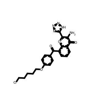 Nc1c(-c2nnn[nH]2)oc2c(C(=O)c3ccc(OCCCCCCl)cc3)cccc2c1=O